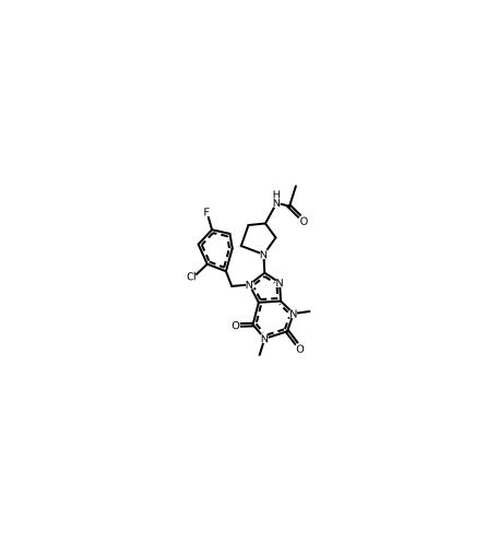 CC(=O)NC1CCN(c2nc3c(c(=O)n(C)c(=O)n3C)n2Cc2ccc(F)cc2Cl)C1